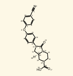 N#Cc1ccc(Oc2ccc(N3C[C@@H]4CN(C(=O)O)CCN4C3=O)cc2)cc1